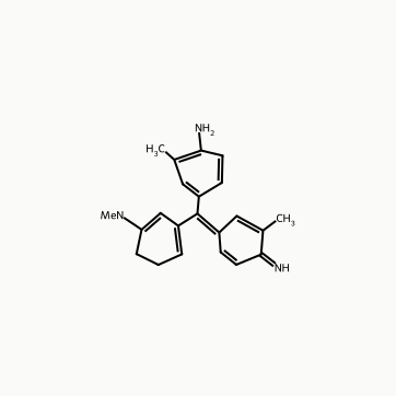 CNC1=CC(C(=C2C=CC(=N)C(C)=C2)c2ccc(N)c(C)c2)=CCC1